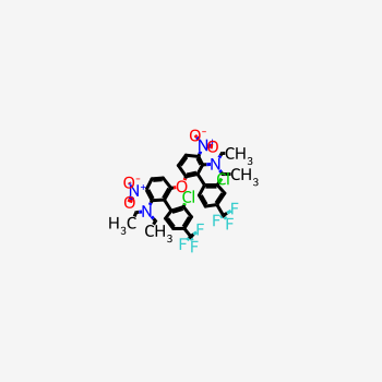 CCN(CC)c1c([N+](=O)[O-])ccc(Oc2ccc([N+](=O)[O-])c(N(CC)CC)c2-c2ccc(C(F)(F)F)cc2Cl)c1-c1ccc(C(F)(F)F)cc1Cl